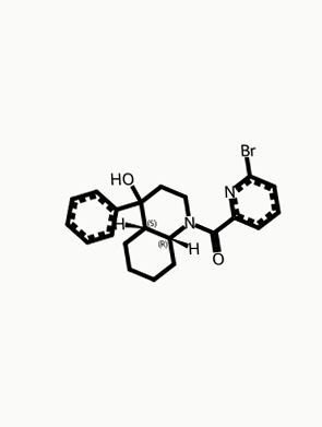 O=C(c1cccc(Br)n1)N1CCC(O)(c2ccccc2)[C@H]2CCCC[C@H]21